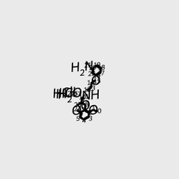 COc1cccc2c1OC(CNCCCOc1cccc(N)c1)CO2.Cl.Cl.O